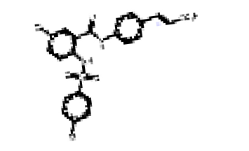 O=C(O)/C=C/c1ccc(NC(=O)c2cc(Cl)ccc2NS(=O)(=O)c2ccc(Cl)cc2)cc1